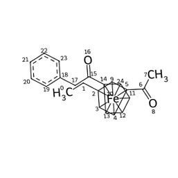 CC[C]12[CH]3[CH]4[C]5(C(C)=O)[CH]1[Fe]34251678[CH]2[CH]1[CH]6[C]7(C(=O)Cc1ccccc1)[CH]28